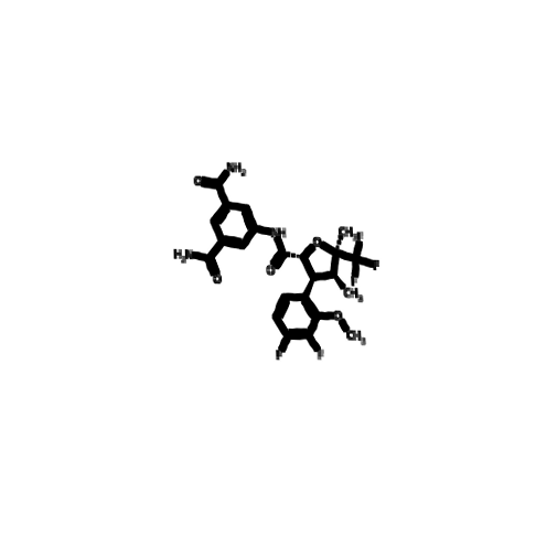 COc1c([C@H]2[C@H](C(=O)Nc3cc(C(N)=O)cc(C(N)=O)c3)O[C@@](C)(C(F)(F)F)[C@H]2C)ccc(F)c1F